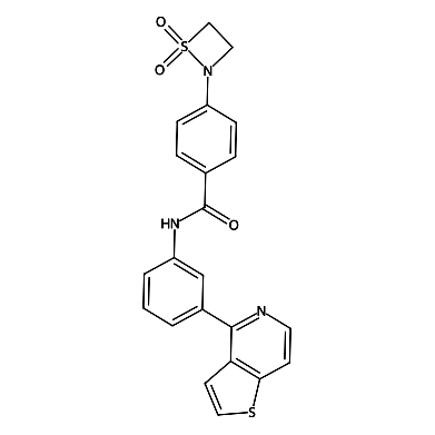 O=C(Nc1cccc(-c2nccc3sccc23)c1)c1ccc(N2CCS2(=O)=O)cc1